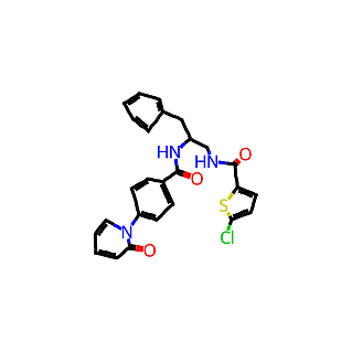 O=C(NC(CNC(=O)c1ccc(Cl)s1)Cc1ccccc1)c1ccc(-n2ccccc2=O)cc1